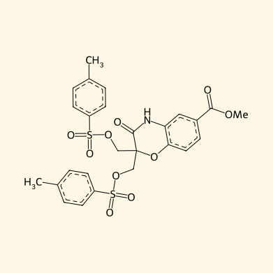 COC(=O)c1ccc2c(c1)NC(=O)C(COS(=O)(=O)c1ccc(C)cc1)(COS(=O)(=O)c1ccc(C)cc1)O2